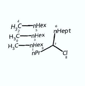 CCCCCCC.CCCCCCC.CCCCCCC.CCCCCCCC(Cl)CCC